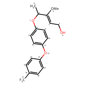 COC(=CCO)C(C)Oc1ccc(Oc2ccc(C(F)(F)F)cc2)cc1